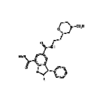 CNC(=O)c1cc(C(=O)NCCC2CN(C(=O)O)CCO2)cc2c1OC(C)C2c1ccccc1